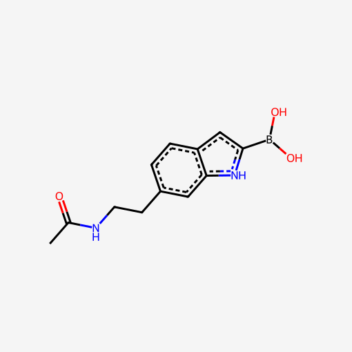 CC(=O)NCCc1ccc2cc(B(O)O)[nH]c2c1